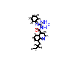 CCC(C)(C)Cc1cccc2c(C(=O)NC(N)=Nc3ccccc3)ccnc12